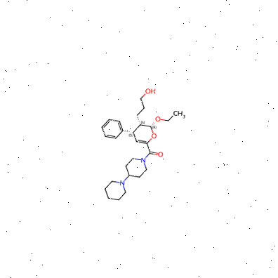 CCO[C@@H]1OC(C(=O)N2CCC(N3CCCCC3)CC2)=C[C@H](c2ccccc2)[C@@H]1CCCO